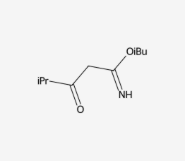 CC(C)COC(=N)CC(=O)C(C)C